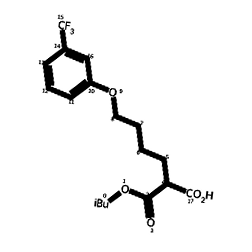 CCC(C)OC(=O)C(CCCCOc1cccc(C(F)(F)F)c1)C(=O)O